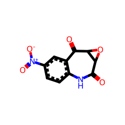 O=C1Nc2ccc([N+](=O)[O-])cc2C(=O)C2OC12